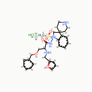 CS(=O)(=O)[N+]1(NC(=O)C(COCc2ccccc2)NCc2ccco2)CC2(CCNCC2)c2ccccc21.Cl.Cl